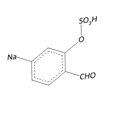 O=Cc1cc[c]([Na])cc1OS(=O)(=O)O